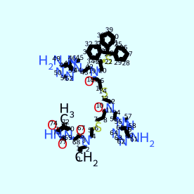 C=CCN(CCSCCC(=O)N(CCSCCC(=O)N(CCSC(c1ccccc1)(c1ccccc1)c1ccccc1)CCn1cnc2c(N)ncnc21)CCn1cnc2c(N)ncnc21)C(=O)Cn1cc(C)c(=O)[nH]c1=O